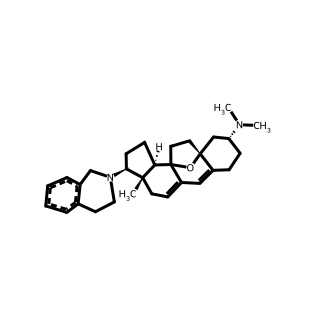 CN(C)[C@@H]1CCC2=CC3=CC[C@]4(C)[C@@H](N5CCc6ccccc6C5)CC[C@H]4C34CC[C@]2(C1)O4